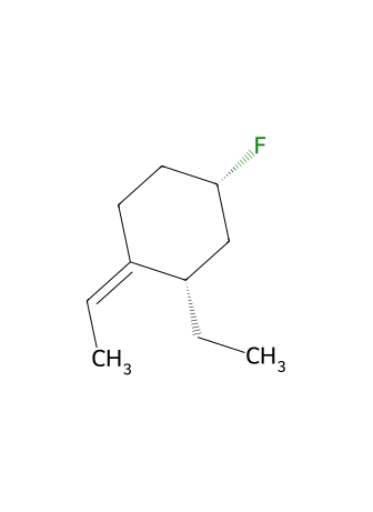 C/C=C1/CC[C@H](F)C[C@@H]1CC